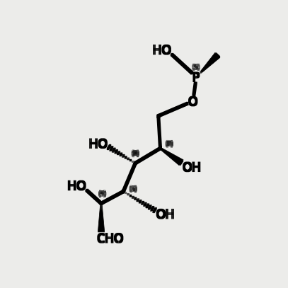 C[P@](O)OC[C@@H](O)[C@@H](O)[C@H](O)[C@H](O)C=O